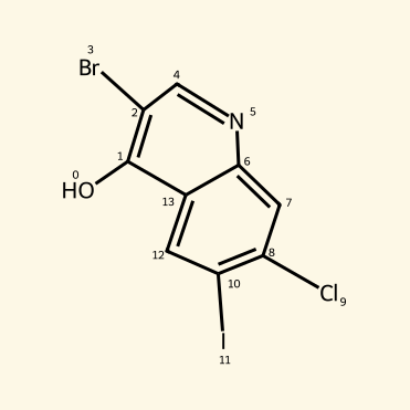 Oc1c(Br)cnc2cc(Cl)c(I)cc12